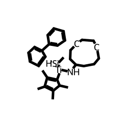 CC1=C(C)C(C)[C]([Ti]([NH]C2CCCCCCCCC2)[SiH](C)C)=C1C.c1ccc(-c2ccccc2)cc1